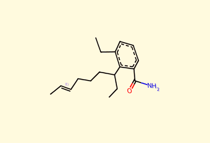 C/C=C/CCCC(CC)c1c(CC)cccc1C(N)=O